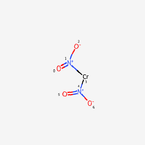 O=[N+]([O-])[Cr][N+](=O)[O-]